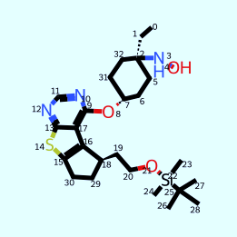 CC[C@]1(NO)CC[C@H](Oc2ncnc3sc4c(c23)[C@@H](CCO[Si](C)(C)C(C)(C)C)CC4)CC1